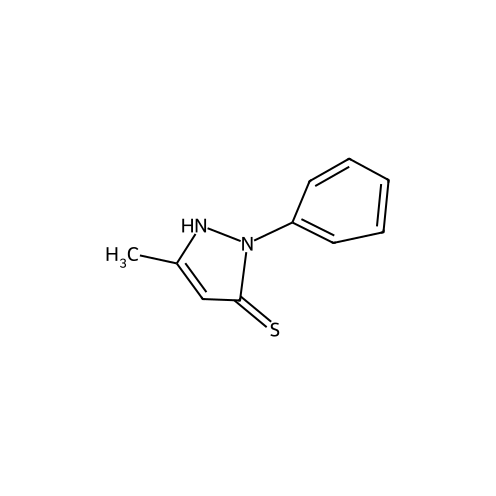 Cc1cc(=S)n(-c2ccccc2)[nH]1